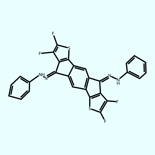 Fc1sc2c(c1F)/c(=N\Nc1ccccc1)c1cc3c(cc12)/c(=N/Nc1ccccc1)c1c(F)c(F)sc13